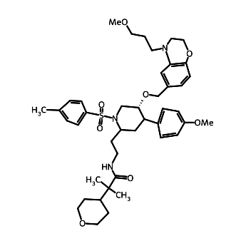 COCCCN1CCOc2ccc(CO[C@H]3CN(S(=O)(=O)c4ccc(C)cc4)C(CCNC(=O)C(C)(C)C4CCOCC4)CC3c3ccc(OC)cc3)cc21